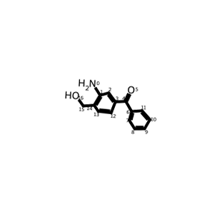 Nc1cc(C(=O)c2ccccc2)ccc1CO